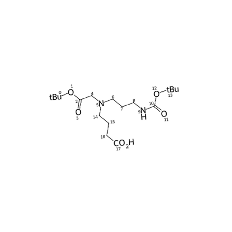 CC(C)(C)OC(=O)CN(CCCNC(=O)OC(C)(C)C)CCCC(=O)O